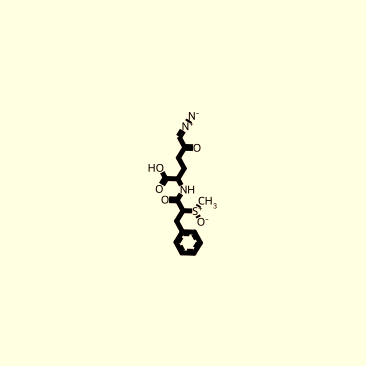 C[S+]([O-])C(Cc1ccccc1)C(=O)NC(CCC(=O)C=[N+]=[N-])C(=O)O